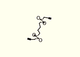 C#CCS(=O)(=O)CCCCS(=O)(=O)CC#C